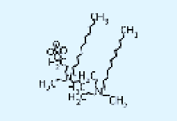 C=CC[N+](CC=C)(CC=C)CCCCCCCCCCCC.C=CC[N+](CC=C)(CC=C)CCCCCCCCCCCC.O=S(=O)([O-])[O-]